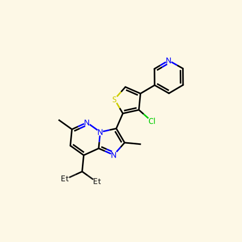 CCC(CC)c1cc(C)nn2c(-c3scc(-c4cccnc4)c3Cl)c(C)nc12